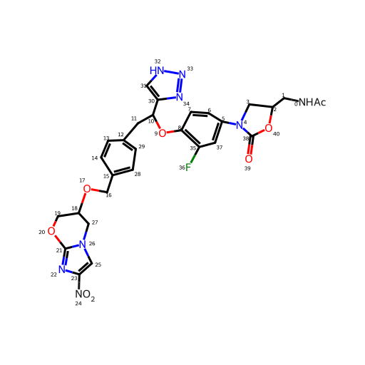 CC(=O)NCC1CN(c2ccc(OC(Cc3ccc(COC4COc5nc([N+](=O)[O-])cn5C4)cc3)c3c[nH]nn3)c(F)c2)C(=O)O1